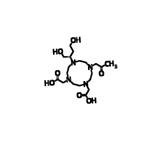 CC(=O)CN1CCN(CC(=O)O)CCN(CC(=O)O)CCN(C(CO)CCO)CC1